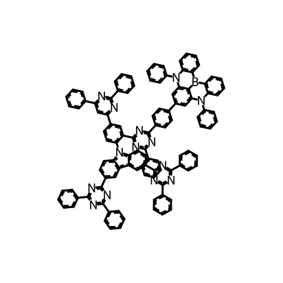 c1ccc(-c2cc(-c3ccc(-n4c5ccc(-c6nc(-c7ccccc7)nc(-c7ccccc7)n6)cc5c5cc(-c6nc(-c7ccccc7)nc(-c7ccccc7)n6)ccc54)c(-c4nc(-c5ccccc5)nc(-c5ccc(-c6cc7c8c(c6)N(c6ccccc6)c6ccccc6B8c6ccccc6N7c6ccccc6)cc5)n4)c3)nc(-c3ccccc3)n2)cc1